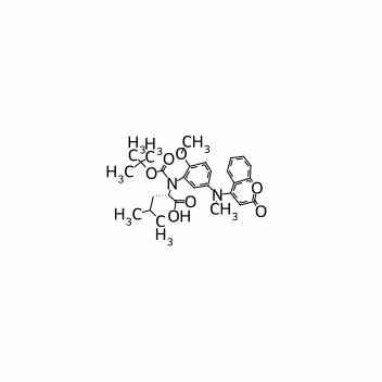 COc1ccc(N(C)c2cc(=O)oc3ccccc23)cc1N(C(=O)OC(C)(C)C)[C@@H](CC(C)C)C(=O)O